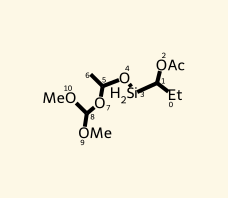 CCC(OC(C)=O)[SiH2]OC(C)OC(OC)OC